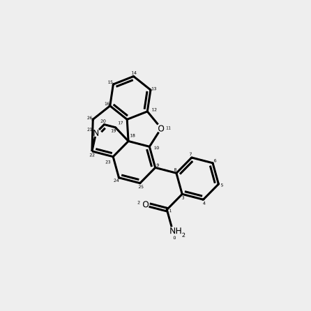 NC(=O)c1ccccc1C1=C2Oc3cccc4c3C23CC=NC(=C3C=C1)C4